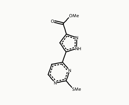 COC(=O)c1cc(-c2ccnc(SC)n2)[nH]n1